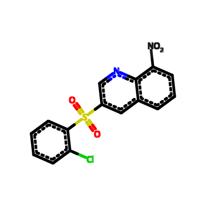 O=[N+]([O-])c1cccc2cc(S(=O)(=O)c3ccccc3Cl)cnc12